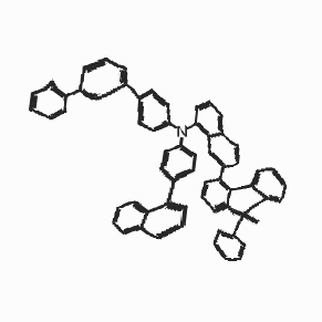 CC1(c2ccccc2)c2ccccc2-c2c(-c3ccc4cccc(N(c5ccc(-c6cccc(-c7ccccc7)c6)cc5)c5ccc(-c6cccc7ccccc67)cc5)c4c3)cccc21